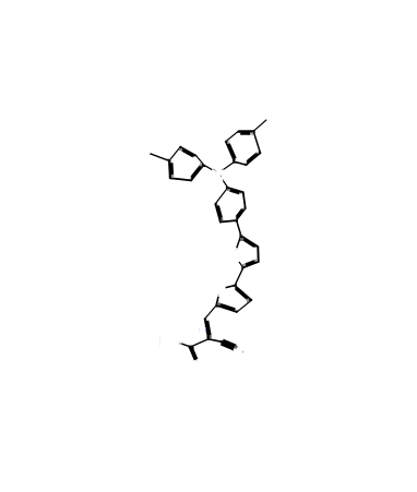 Cc1ccc(N(c2ccc(C)cc2)c2ccc(-c3ccc(-c4ccc(/C=C(\C#N)C(=O)O)s4)s3)cc2)cc1